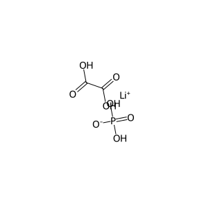 O=C(O)C(=O)O.O=P([O-])(O)O.[Li+]